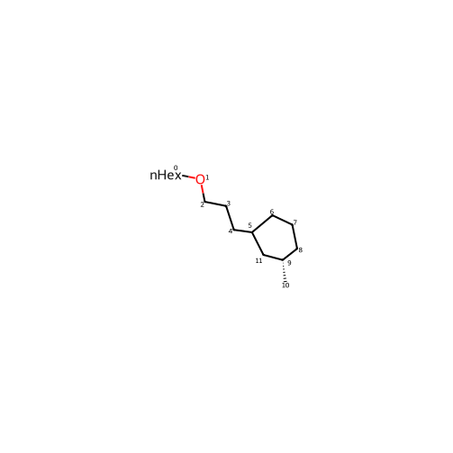 CCCCCCOCCCC1CCC[C@H](C)C1